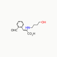 O=Cc1ccccc1C=C(NCCCCO)C(=O)O